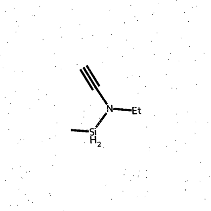 C#CN(CC)[SiH2]C